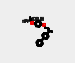 CCCC(C)(Oc1ccc(OCC=C(C)c2ccc(-c3ccccc3)cc2)cc1)C(=O)O